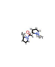 CC(=O)[C@@H]1CCCN1C(=O)C[C@@H]1CCCN1C(C)C